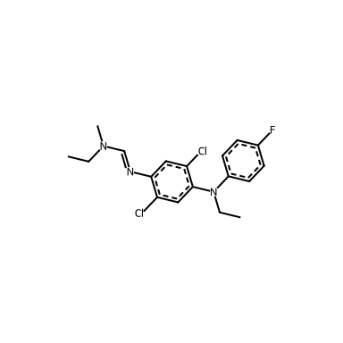 CCN(C)C=Nc1cc(Cl)c(N(CC)c2ccc(F)cc2)cc1Cl